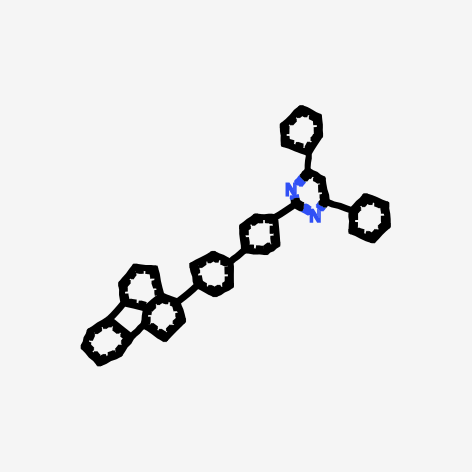 c1ccc(-c2cc(-c3ccccc3)nc(-c3ccc(-c4ccc(-c5ccc6c7c(cccc57)-c5ccccc5-6)cc4)cc3)n2)cc1